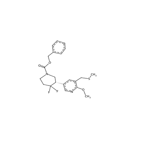 COc1ncc([C@H]2CN(C(=O)OCc3ccccc3)CCC2(F)F)cc1CSC